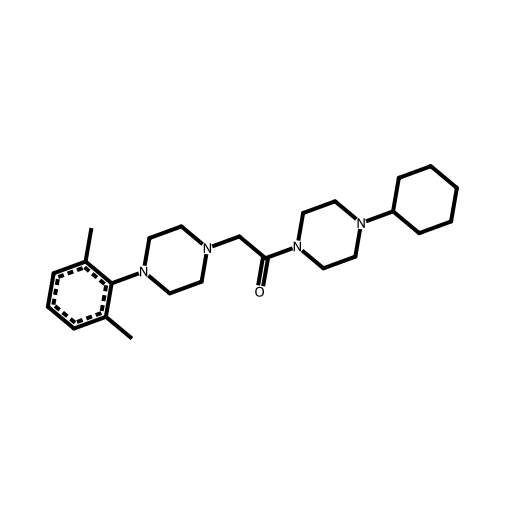 Cc1cccc(C)c1N1CCN(CC(=O)N2CCN(C3CCCCC3)CC2)CC1